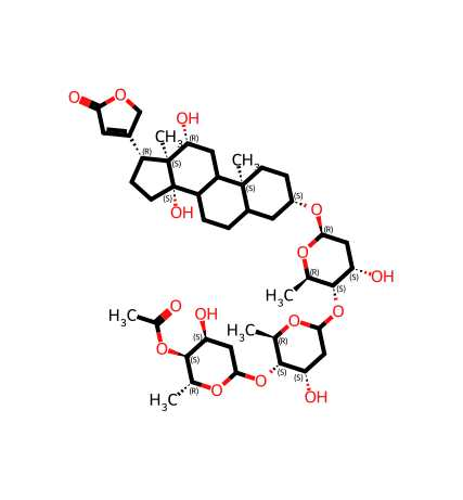 CC(=O)O[C@H]1[C@@H](O)CC(O[C@H]2[C@@H](O)CC(O[C@H]3[C@@H](O)C[C@H](O[C@H]4CC[C@@]5(C)C(CCC6C5C[C@@H](O)[C@]5(C)[C@@H](C7=CC(=O)OC7)CC[C@]65O)C4)O[C@@H]3C)O[C@@H]2C)O[C@@H]1C